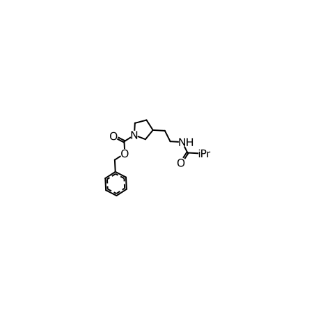 CC(C)C(=O)NCCC1CCN(C(=O)OCc2ccccc2)C1